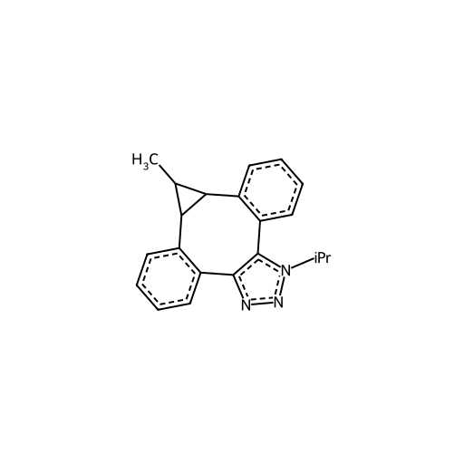 CC1C2c3ccccc3-c3nnn(C(C)C)c3-c3ccccc3C12